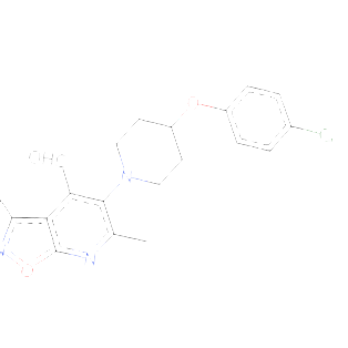 Cc1nc2onc(C)c2c(C=O)c1N1CCC(Oc2ccc(Cl)cc2)CC1